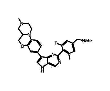 CNCc1cc(C)c(-c2ncc3[nH]cc(-c4ccc5c(c4)OCC4CN(C)CCN54)c3n2)c(F)c1